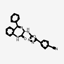 N#Cc1ccc(-c2nnc(N[C@H]3N=C(c4ccccc4)c4ccccc4NC3=O)o2)cc1